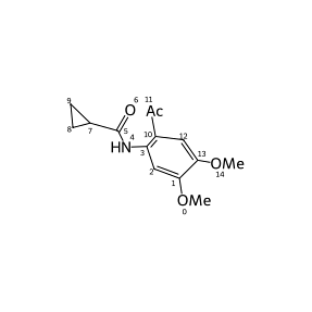 COc1cc(NC(=O)C2CC2)c(C(C)=O)cc1OC